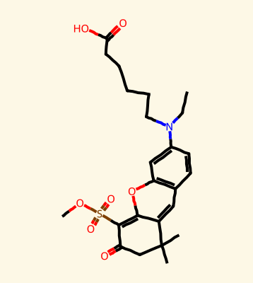 CCN(CCCCCC(=O)O)c1ccc2c(c1)OC1=C(S(=O)(=O)OC)C(=O)CC(C)(C)C1=C2